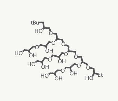 CCC(O)COCC(COCC(COCC(COCC(O)CC(C)(C)C)OCC(O)COCC(O)CO)OCC(O)COCC(O)CO)OCC(O)COCC(O)CO